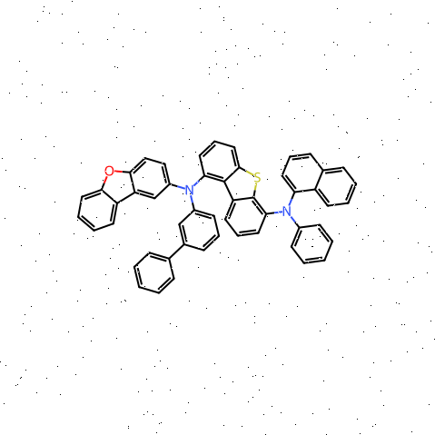 c1ccc(-c2cccc(N(c3ccc4oc5ccccc5c4c3)c3cccc4sc5c(N(c6ccccc6)c6cccc7ccccc67)cccc5c34)c2)cc1